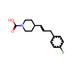 O=C(O)N1CCC(C=CCc2ccc(F)cc2)CC1